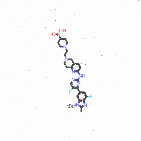 Cc1nc2c(F)cc(-c3nc(Nc4ccc5c(n4)CCN(CCN4CC=C(B(O)O)CC4)C5)ncc3F)cc2n1C(C)(C)C